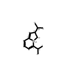 CC(C)C1=CC=CC2=CC(C(C)C)CN21